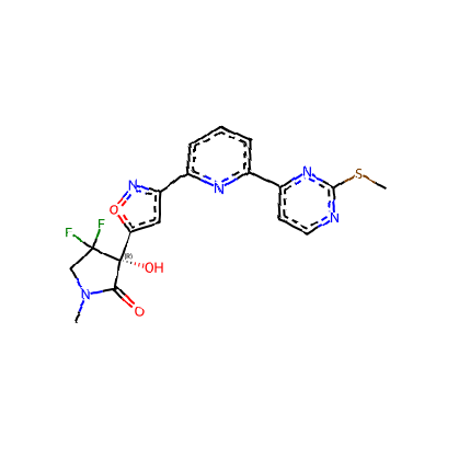 CSc1nccc(-c2cccc(-c3cc([C@@]4(O)C(=O)N(C)CC4(F)F)on3)n2)n1